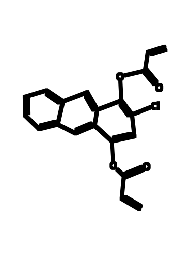 C=CC(=O)Oc1cc(Cl)c(OC(=O)C=C)c2cc3ccccc3cc12